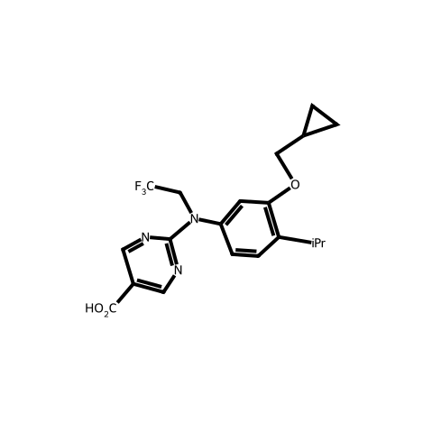 CC(C)c1ccc(N(CC(F)(F)F)c2ncc(C(=O)O)cn2)cc1OCC1CC1